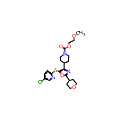 COCCOC(=O)N1CCC(c2nc(C3CCOCC3)oc2Sc2ccc(Cl)cn2)CC1